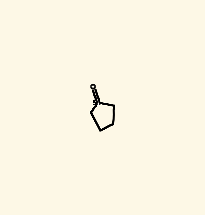 [O]=[Sn]1[CH2]CC[CH2]1